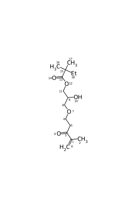 C=C(C)C(=O)CCOCC(O)COC(=O)C(C)(C)CC